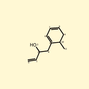 C=CC(O)CC1=CC=CCC1C